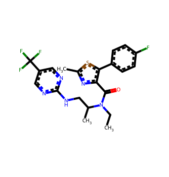 CCN(C(=O)c1nc(C)sc1-c1ccc(F)cc1)C(C)CNc1ncc(C(F)(F)F)cn1